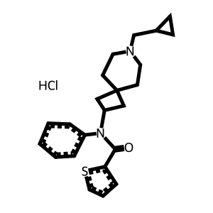 Cl.O=C(c1cccs1)N(c1ccccc1)C1CC2(CCN(CC3CC3)CC2)C1